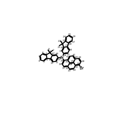 CC1(C)c2ccccc2-c2ccc(N(c3ccc4c(c3)C(C)(C)c3ccccc3-4)c3ccc4ccc5c(Br)ccc6ccc3c4c65)cc21